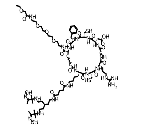 CCOCC(=O)NCCOCCOCCOCCNC(=O)[C@@H]1CSCC(=O)N[C@@H](CCCCNC(=O)CCCC(=O)NCCC(CCNC(C)(C)/C(C)=N\O)CCNC(C)(C)/C(C)=N\O)C(=O)N[C@@H](CS)C(=O)N[C@@H](CCCNC(=N)N)C(=O)NCC(=O)N[C@@H](CC(=O)O)C(=O)N[C@@H](CS)C(=O)N[C@@H](Cc2ccccc2)C(=O)N1